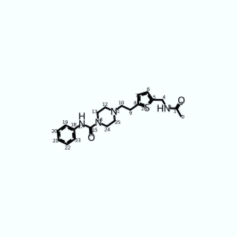 CC(=O)NCc1ccc(CCN2CCN(C(=O)Nc3ccccc3)CC2)s1